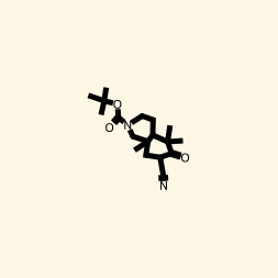 CC(C)(C)OC(=O)N1CCC2C(C)(CC(C#N)C(=O)C2(C)C)C1